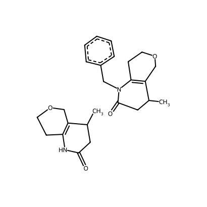 CC1CC(=O)N(Cc2ccccc2)C2=C1COCC2.CC1CC(=O)NC2=C1COCC2